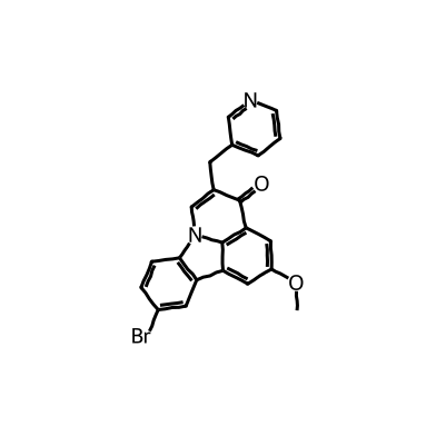 COc1cc2c(=O)c(Cc3cccnc3)cn3c4ccc(Br)cc4c(c1)c23